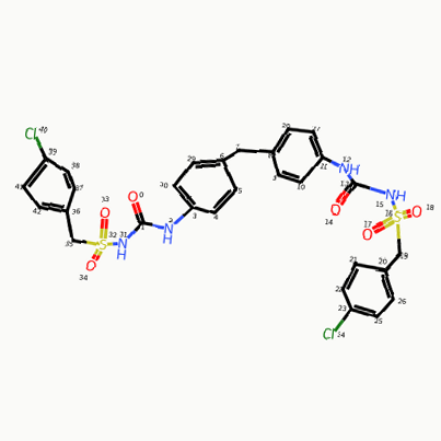 O=C(Nc1ccc(Cc2ccc(NC(=O)NS(=O)(=O)Cc3ccc(Cl)cc3)cc2)cc1)NS(=O)(=O)Cc1ccc(Cl)cc1